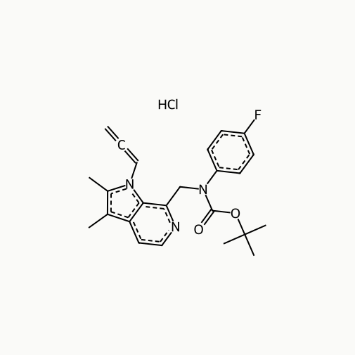 C=C=Cn1c(C)c(C)c2ccnc(CN(C(=O)OC(C)(C)C)c3ccc(F)cc3)c21.Cl